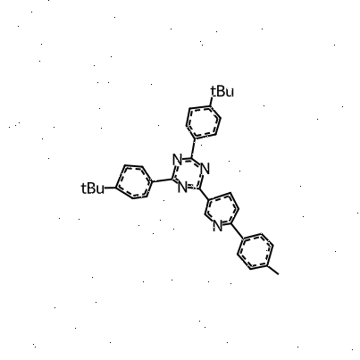 Cc1ccc(-c2ccc(-c3nc(-c4ccc(C(C)(C)C)cc4)nc(-c4ccc(C(C)(C)C)cc4)n3)cn2)cc1